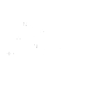 NCC(=O)N(CC(=O)O)C(=S)CC(c1ccccc1)(c1ccccc1)c1ccccc1